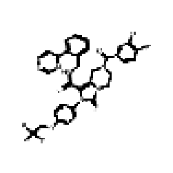 O=C(NCc1ccccc1-c1ccncn1)c1c2n(c(=O)n1-c1ccc(OCC(F)(F)F)cc1)CCN(C(=O)c1ccc(Br)c(Cl)c1)C2